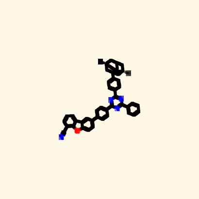 N#Cc1cccc2c1oc1ccc(-c3ccc(-c4nc(-c5ccccc5)nc(-c5ccc(C67CC8C[C@H](C6)C[C@@H](C8)C7)cc5)n4)cc3)cc12